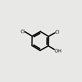 Oc1ccc(Cl)[c]c1Cl